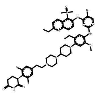 CCc1ccc2c(P(C)(C)=O)c(Nc3nc(Nc4cc(CC)c(N5CCC(N6CCN(CCc7cc(F)c([C@@H]8CCC(=O)NC8=O)c(F)c7)CC6)CC5)cc4OC)ncc3Br)ccc2n1